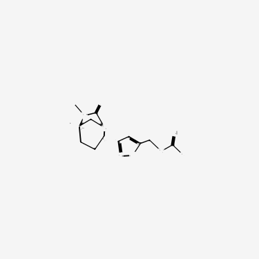 CN1C(=O)N2C[C@H]1CC[C@H]2c1cc(CNC(=N)N)on1